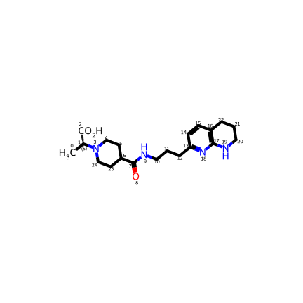 C[C@@H](C(=O)O)N1CCC(C(=O)NCCCc2ccc3c(n2)NCCC3)CC1